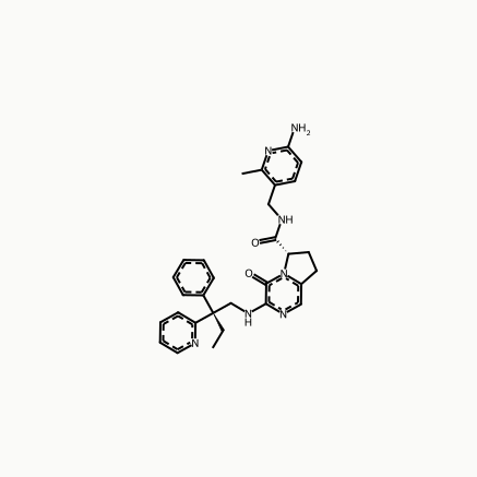 CC[C@](CNc1ncc2n(c1=O)[C@H](C(=O)NCc1ccc(N)nc1C)CC2)(c1ccccc1)c1ccccn1